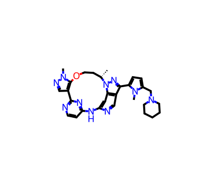 C[C@H]1CCOc2c(cnn2C)-c2nccc(n2)Nc2cc3c(cn2)c(-c2ccc(CN4CCCCC4)n2C)nn31